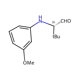 COc1cccc(N[C@H](C=O)C(C)(C)C)c1